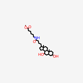 COC(=O)CCCCCNC(=O)CCCC1CCC2C3C(O)CC4C[C@H](O)CCC4(C)C3CCC12C